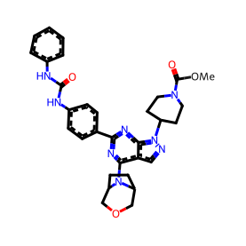 COC(=O)N1CCC(n2ncc3c(N4C5CCC4COC5)nc(-c4ccc(NC(=O)Nc5ccccc5)cc4)nc32)CC1